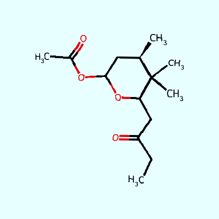 CCC(=O)CC1OC(OC(C)=O)C[C@@H](C)C1(C)C